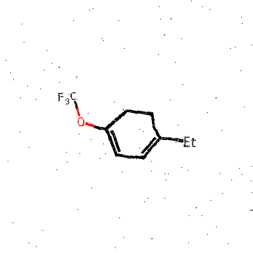 CCC1=CC=C(OC(F)(F)F)CC1